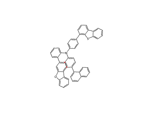 c1ccc(N(c2ccc(-c3cccc4ccccc34)cc2)c2ccc(-c3cccc4c3sc3ccccc34)cc2)c(-c2ccc3c(c2)oc2ccccc23)c1